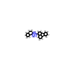 N=C1/C(=N\Nc2ccc3c4c(cccc24)-c2ccccc2-3)C=Cc2ccccc21